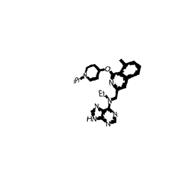 CCN(Cc1cc2cccc(C)c2c(OC2CCN(C(C)C)CC2)n1)c1ncnc2[nH]cnc12